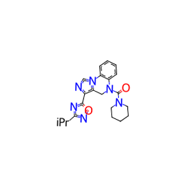 CC(C)c1noc(-c2ncn3c2CN(C(=O)N2CCCCC2)c2ccccc2-3)n1